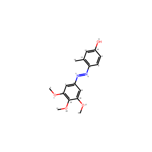 COc1cc(N=Nc2ccc(O)cc2C)cc(OC)c1OC